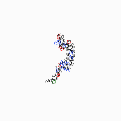 CN1C[C@H](Oc2ccc(C#N)c(Cl)c2)C[C@H]1C(=O)Nc1ccc(N2CCC(CN3CCN(c4ccc5c(c4)C(=O)N(C4CCC(=O)NC4=O)C5=O)CC3)CC2)nn1